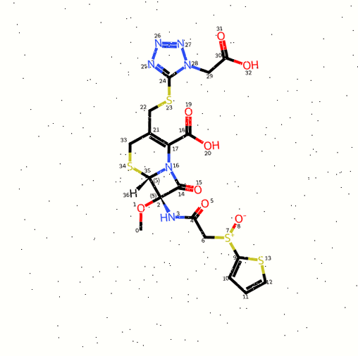 CO[C@@]1(NC(=O)C[S+]([O-])c2cccs2)C(=O)N2C(C(=O)O)=C(CSc3nnnn3CC(=O)O)CS[C@H]21